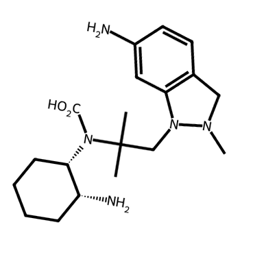 CN1Cc2ccc(N)cc2N1CC(C)(C)N(C(=O)O)[C@H]1CCCC[C@H]1N